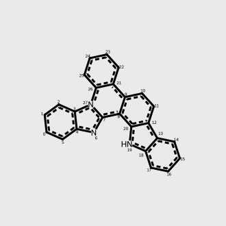 c1ccc2c(c1)nc1c3c(ccc4c5ccccc5[nH]c43)c3ccccc3n21